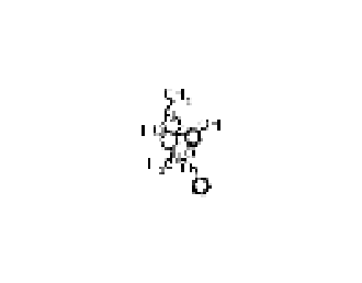 C=CCN1CCC2(c3cccc(O)c3)CC(N(C)C(=O)OCc3ccccc3)CCC2(O)C1